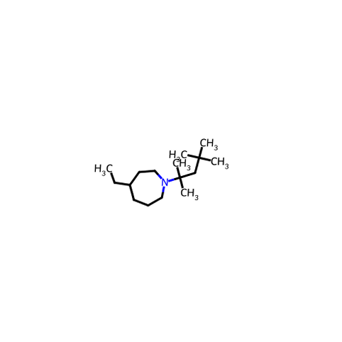 CCC1CCCN(C(C)(C)CC(C)(C)C)CC1